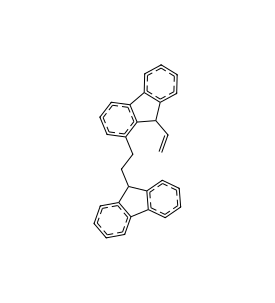 C=CC1c2ccccc2-c2cccc(CCC3c4ccccc4-c4ccccc43)c21